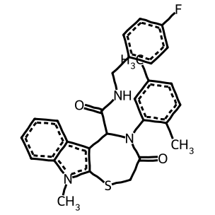 Cc1ccc(C)c(N2C(=O)CSc3c(c4ccccc4n3C)C2C(=O)NCc2ccc(F)cc2)c1